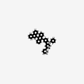 c1ccc(-n2c3ccc(-c4c5ccccc5c(-c5cc6ccccc6c6ccccc56)c5ccccc45)cc3c3cc(-c4ccccn4)ncc32)cc1